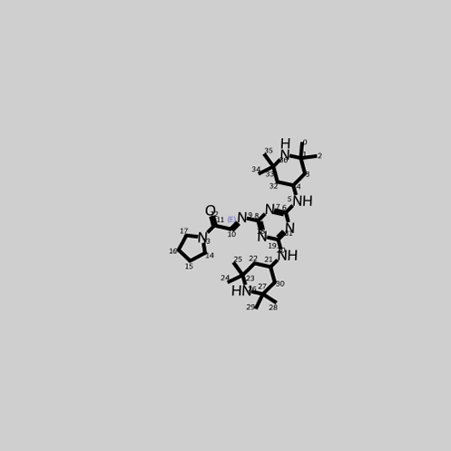 CC1(C)CC(Nc2nc(/N=C/C(=O)N3CCCC3)nc(NC3CC(C)(C)NC(C)(C)C3)n2)CC(C)(C)N1